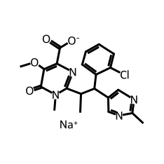 COc1c(C(=O)[O-])nc(C(C)C(c2cnc(C)nc2)c2ccccc2Cl)n(C)c1=O.[Na+]